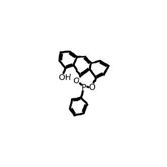 Oc1cccc2cc3cccc4c3c(c12)OP(c1ccccc1)O4